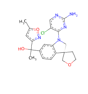 Cc1cc(C(C)(O)c2ccc3c(c2)N(c2nc(N)ncc2Cl)C[C@@]32CCOC2)no1